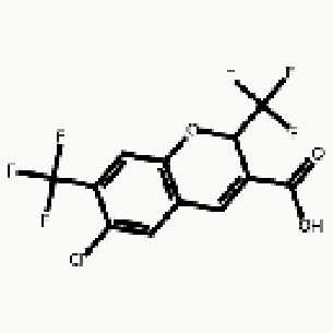 O=C(O)C1=Cc2cc(Cl)c(C(F)(F)F)cc2OC1C(F)(F)F